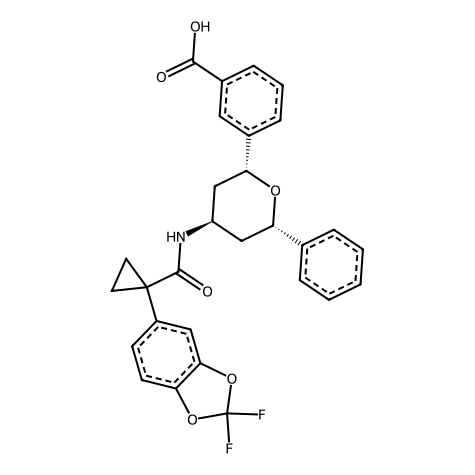 O=C(O)c1cccc([C@H]2C[C@H](NC(=O)C3(c4ccc5c(c4)OC(F)(F)O5)CC3)C[C@@H](c3ccccc3)O2)c1